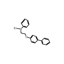 CCN(CCOc1ccc(-c2ccccc2)cc1)c1ccccc1